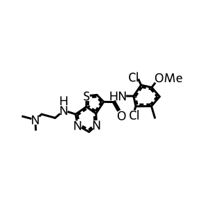 COc1cc(C)c(Cl)c(NC(=O)c2csc3c(NCCN(C)C)ncnc23)c1Cl